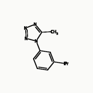 Cc1nnnn1-c1cccc(C(C)C)c1